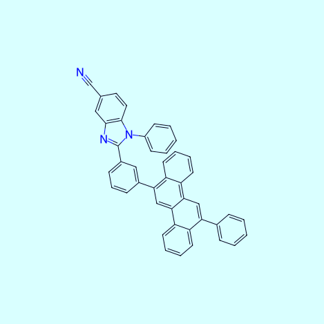 N#Cc1ccc2c(c1)nc(-c1cccc(-c3cc4c5ccccc5c(-c5ccccc5)cc4c4ccccc34)c1)n2-c1ccccc1